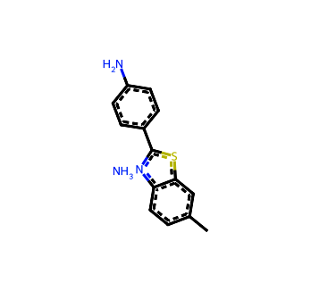 Cc1ccc2nc(-c3ccc(N)cc3)sc2c1.N